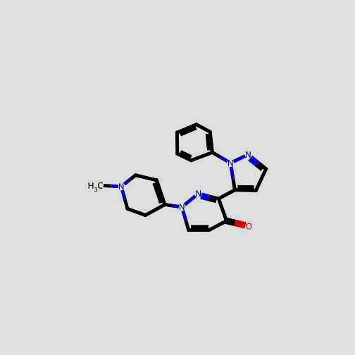 CN1CC=C(n2ccc(=O)c(-c3ccnn3-c3ccccc3)n2)CC1